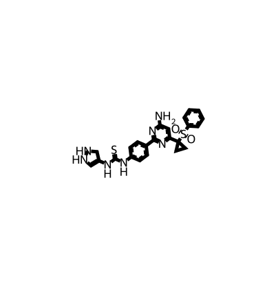 Nc1cc(C2(S(=O)(=O)c3ccccc3)CC2)nc(-c2ccc(NC(=S)NC3=CNNC3)cc2)n1